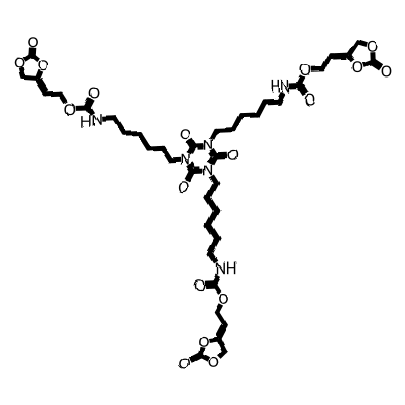 O=C(NCCCCCCn1c(=O)n(CCCCCCNC(=O)OC/C=C2/COC(=O)O2)c(=O)n(CCCCCCNC(=O)OC/C=C2/COC(=O)O2)c1=O)OC/C=C1/COC(=O)O1